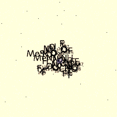 CNc1c(N(C)/C(=N\c2nc(OCCC(C)(F)F)ccc2C=O)[C@H](Cc2cc(F)cc(F)c2)NC(=O)Cn2nc(C(F)F)c3c2C(F)(F)C(C)CC3)ccc(Cl)c1C(=N)NSC